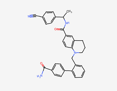 CC(NC(=O)c1ccc2c(c1)CCCN2Cc1ccccc1-c1ccc(C(N)=O)cc1)c1ccc(C#N)cc1